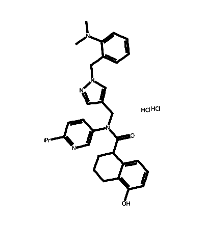 CC(C)c1ccc(N(Cc2cnn(Cc3ccccc3N(C)C)c2)C(=O)C2CCCc3c(O)cccc32)cn1.Cl.Cl